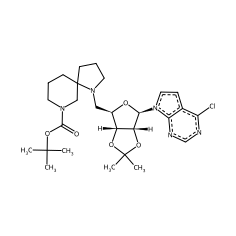 CC(C)(C)OC(=O)N1CCCC2(CCCN2C[C@H]2O[C@@H](n3ccc4c(Cl)ncnc43)[C@@H]3OC(C)(C)O[C@@H]32)C1